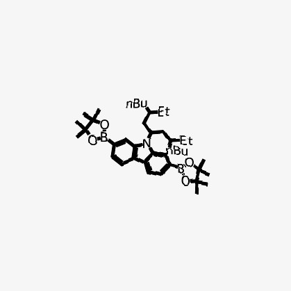 CCCCC(CC)CC(CC(CC)CCCC)n1c2cc(B3OC(C)(C)C(C)(C)O3)ccc2c2ccc(B3OC(C)(C)C(C)(C)O3)cc21